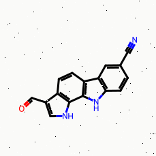 N#Cc1ccc2[nH]c3c(ccc4c(C=O)c[nH]c43)c2c1